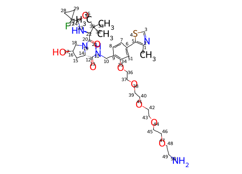 Cc1ncsc1-c1ccc(CNC(=O)[C@@H]2C[C@@H](O)CN2C(=O)[C@@H](NC(=O)C2(F)CC2)C(C)(C)C)c(OCCOCCOCCOCCOCCN)c1